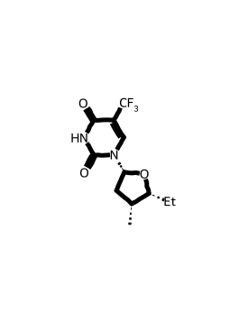 CC[C@H]1O[C@@H](n2cc(C(F)(F)F)c(=O)[nH]c2=O)C[C@H]1C